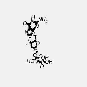 C[C@@]1(F)C[C@@H](COP(=O)(O)OP(=O)(O)O)O[C@H]1Cn1cnc2c(=O)[nH]c(N)nc21